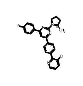 C[C@@H]1CCCN1c1nc(-c2ccc(F)cc2)cc(-c2ccc(-c3ncccc3Cl)cc2)n1